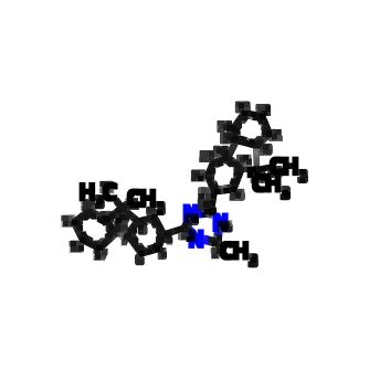 Cc1nc(-c2ccc3c(c2)C(C)(C)c2ccccc2-3)nc(-c2ccc3c(c2)C(C)(C)c2ccccc2-3)n1